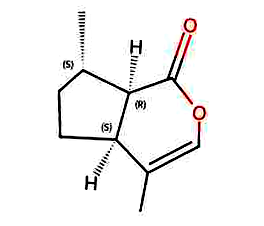 CC1=COC(=O)[C@H]2[C@@H]1CC[C@@H]2C